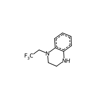 FC(F)(F)CN1CCNc2ccccc21